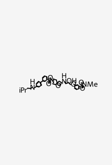 CNS(=O)(=O)c1cccc(OC[C@@H](O)CN[C@@H]2COC3(CCN(S(=O)(=O)c4cccc(-c5ccc(CNCCC(C)C)cc5)c4)CC3)C2)c1